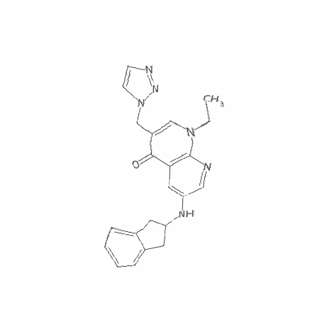 CCn1cc(Cn2ccnn2)c(=O)c2cc(NC3Cc4ccccc4C3)cnc21